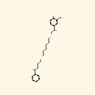 OCc1cc(C(O)CNCCCCCCOCCCC(O)c2ccccc2)ccc1O